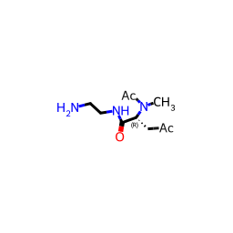 CC(=O)C[C@H](C(=O)NCCN)N(C)C(C)=O